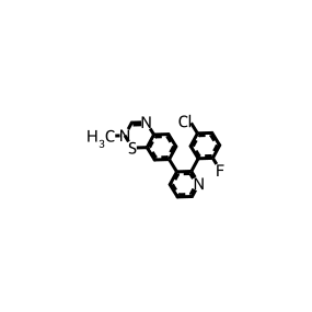 CN1C=Nc2ccc(-c3cccnc3-c3cc(Cl)ccc3F)cc2S1